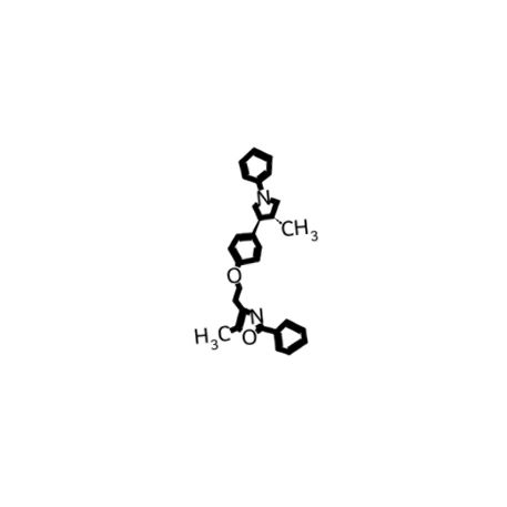 Cc1oc(-c2ccccc2)nc1CCOc1ccc([C@H]2CN(c3ccccc3)C[C@@H]2C)cc1